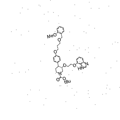 COc1ccccc1COCCCOc1ccc(C2CCN(C(=O)OC(C)(C)C)CC2OCCOc2cccc3nc[nH]c23)cc1